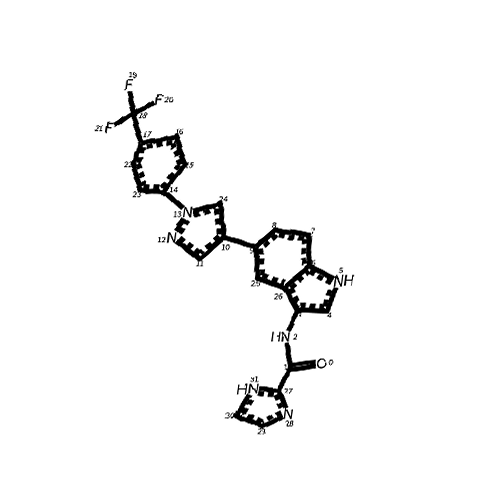 O=C(Nc1c[nH]c2ccc(-c3cnn(-c4ccc(C(F)(F)F)cc4)c3)cc12)c1ncc[nH]1